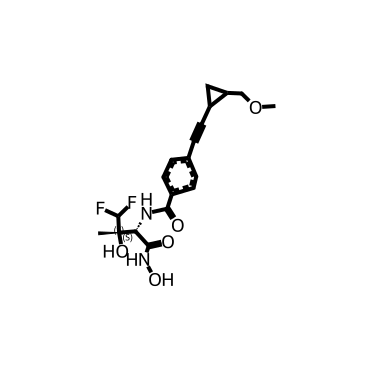 COCC1CC1C#Cc1ccc(C(=O)N[C@H](C(=O)NO)[C@](C)(O)C(F)F)cc1